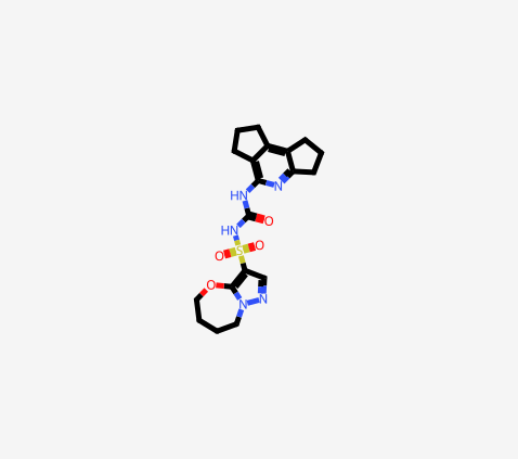 O=C(Nc1nc2c(c3c1CCC3)CCC2)NS(=O)(=O)c1cnn2c1OCCCC2